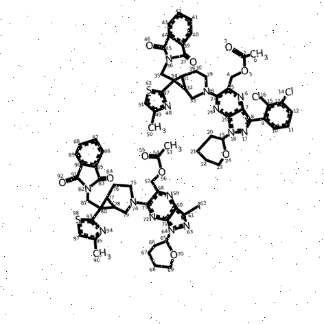 CC(=O)OCc1nc2c(-c3cccc(Cl)c3Cl)nn(C3CCCCO3)c2nc1N1CCC2C(C1)C2(CN1C(=O)c2ccccc2C1=O)c1nc(C)cs1.CC(=O)OCc1nc2c(I)nn(C3CCCCO3)c2nc1N1CCC2C(C1)C2(CN1C(=O)c2ccccc2C1=O)c1nc(C)cs1